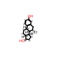 CC[C@H]1Cc2cc(O)ccc2[C@H]2CC[C@H]3[C@@H](CC[C@H]3O)[C@H]12